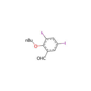 CCCCOc1c(I)cc(I)cc1C=O